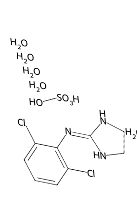 Clc1cccc(Cl)c1N=C1NCCN1.O.O.O.O.O.O=S(=O)(O)O